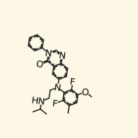 COc1cc(C)c(F)c(N(CCNC(C)C)c2ccc3ncn(-c4ccccc4)c(=O)c3c2)c1F